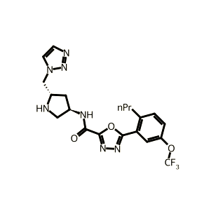 CCCc1ccc(OC(F)(F)F)cc1-c1nnc(C(=O)N[C@H]2CN[C@H](Cn3ccnn3)C2)o1